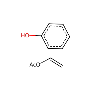 C=COC(C)=O.Oc1ccccc1